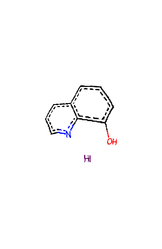 I.Oc1cccc2cccnc12